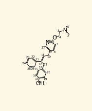 CN(C)CCOc1ccc(C/C=C(\Cc2ccc(O)cc2)c2ccccc2)cn1